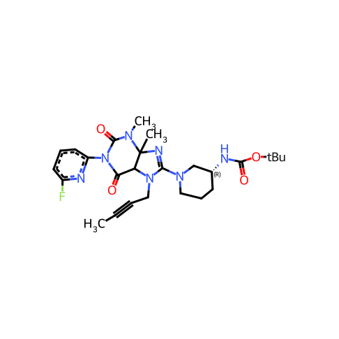 CC#CCN1C(N2CCC[C@@H](NC(=O)OC(C)(C)C)C2)=NC2(C)C1C(=O)N(c1cccc(F)n1)C(=O)N2C